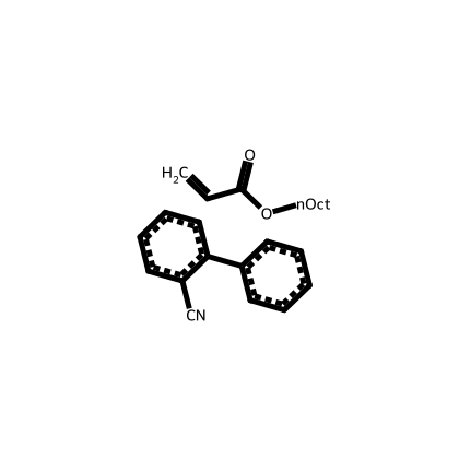 C=CC(=O)OCCCCCCCC.N#Cc1ccccc1-c1ccccc1